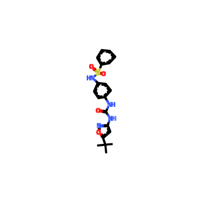 CC(C)(C)c1cc(NC(=O)Nc2ccc(NS(=O)(=O)c3ccccc3)cc2)no1